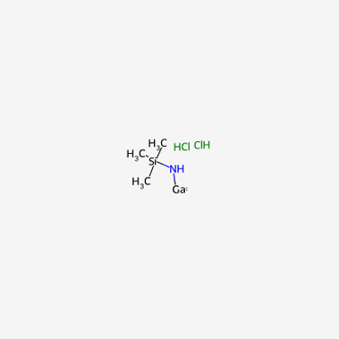 C[Si](C)(C)[NH][Ga].Cl.Cl